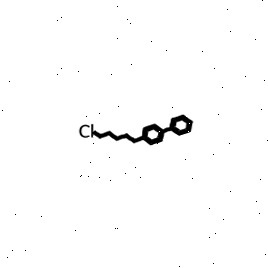 ClCCCCCc1ccc(-c2ccccc2)cc1